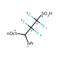 CCCCCCCCC(CCC)C(F)(F)C(F)(F)S(=O)(=O)O